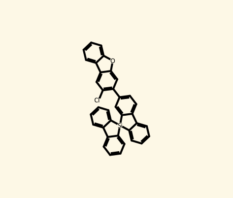 Clc1cc2c(cc1-c1ccc3c(c1)[Si]1(c4ccccc4-c4ccccc41)c1ccccc1-3)oc1ccccc12